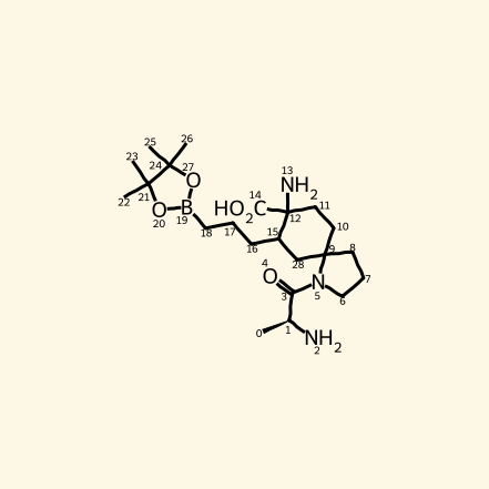 C[C@H](N)C(=O)N1CCCC12CCC(N)(C(=O)O)C(CCCB1OC(C)(C)C(C)(C)O1)C2